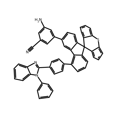 N#Cc1cc(N)cc(-c2ccc3c(c2)-c2c(-c4ccc(-c5nc6ccccc6n5-c5ccccc5)cc4)cccc2C32c3ccccc3Sc3ccccc32)c1